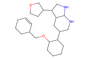 C1=CC(COC2CCCCC2C2CNC3NCC(C4CCOC4)C3C2)CCC1